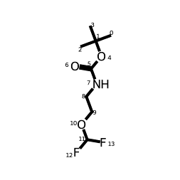 CC(C)(C)OC(=O)NCCOC(F)F